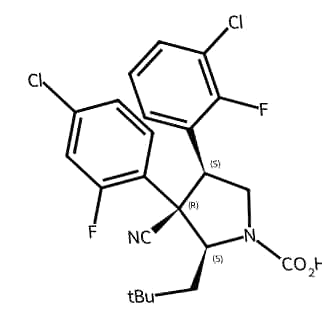 CC(C)(C)C[C@@H]1N(C(=O)O)C[C@H](c2cccc(Cl)c2F)[C@@]1(C#N)c1ccc(Cl)cc1F